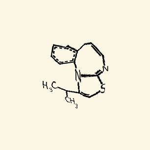 CC(C)C1=CSC2=NC=Cc3ccccc3N12